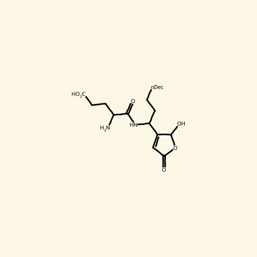 CCCCCCCCCCCCC(NC(=O)C(N)CCC(=O)O)C1=CC(=O)OC1O